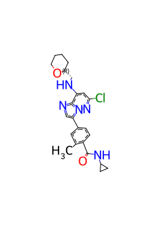 Cc1cc(-c2cnc3c(NC[C@H]4CCCCO4)cc(Cl)nn23)ccc1C(=O)NC1CC1